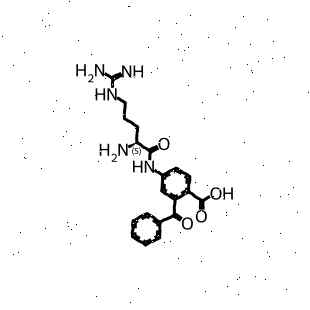 N=C(N)NCCC[C@H](N)C(=O)Nc1ccc(C(=O)O)c(C(=O)c2ccccc2)c1